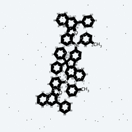 Cc1cccc(N(c2ccc3c(c2)C(c2ccccc2)(c2ccccc2)c2cc(N(c4cccc(C)c4)c4cccc5c4oc4c(-c6ccccc6)cc6ccccc6c45)c4ccccc4c2-3)c2cccc3c2oc2c(-c4ccccc4)cc4ccccc4c23)c1